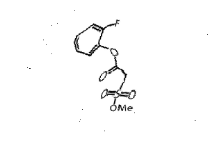 COS(=O)(=O)CC(=O)Oc1ccccc1F